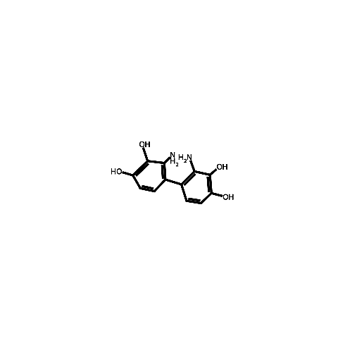 Nc1c(-c2ccc(O)c(O)c2N)ccc(O)c1O